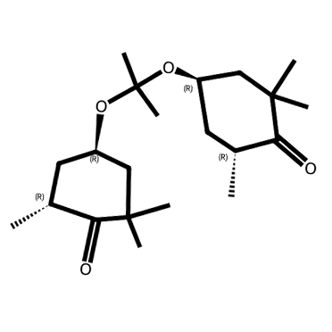 C[C@@H]1C[C@@H](OC(C)(C)O[C@@H]2C[C@@H](C)C(=O)C(C)(C)C2)CC(C)(C)C1=O